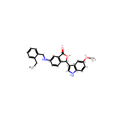 CCc1ccccc1CNc1ccc2c(c1)C(=O)OC2c1c[nH]c2ccc(OC)cc12